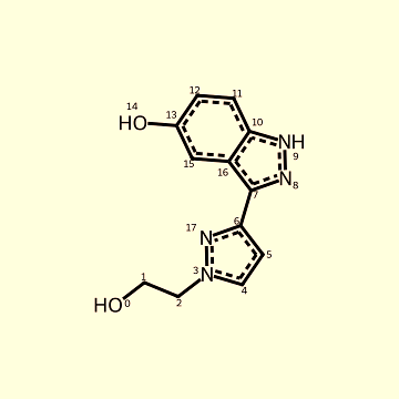 OCCn1ccc(-c2n[nH]c3ccc(O)cc23)n1